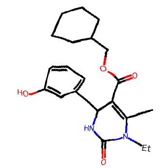 CCN1C(=O)NC(c2cccc(O)c2)C(C(=O)OCC2CCCCC2)=C1C